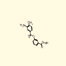 Cc1ccc(C(=O)Oc2cccc(C(=O)OC(C)C)c2)cc1N